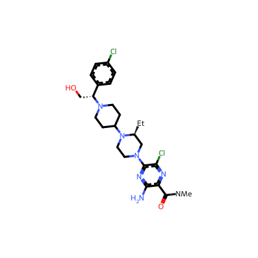 CC[C@H]1CN(c2nc(N)c(C(=O)NC)nc2Cl)CCN1C1CCN([C@H](CO)c2ccc(Cl)cc2)CC1